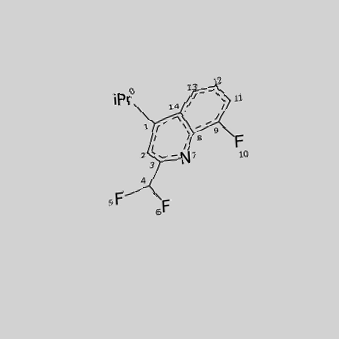 CC(C)c1cc(C(F)F)nc2c(F)cccc12